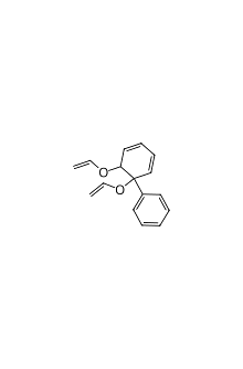 C=COC1C=CC=CC1(OC=C)c1ccccc1